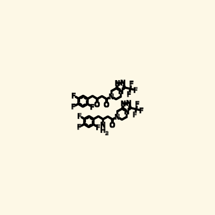 NC(CC(=O)N1CCn2c(nnc2C(F)(F)F)C1)Cc1cc(F)c(F)cc1F.O=C(CC(=O)N1CCn2c(nnc2C(F)(F)F)C1)Cc1cc(F)c(F)cc1F